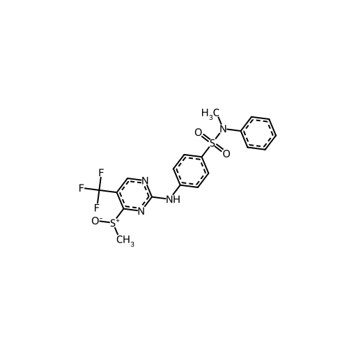 CN(c1ccccc1)S(=O)(=O)c1ccc(Nc2ncc(C(F)(F)F)c([S+](C)[O-])n2)cc1